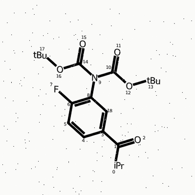 CC(C)C(=O)c1ccc(F)c(N(C(=O)OC(C)(C)C)C(=O)OC(C)(C)C)c1